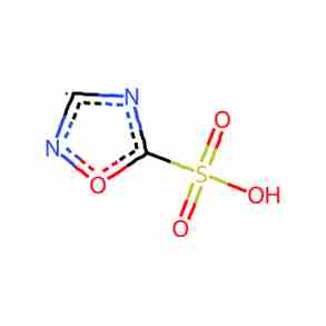 O=S(=O)(O)c1n[c]no1